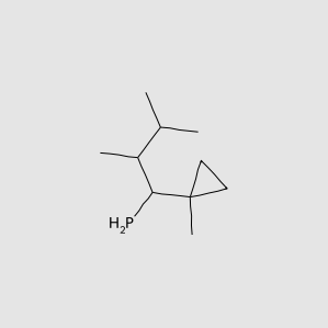 CC(C)C(C)C(P)C1(C)CC1